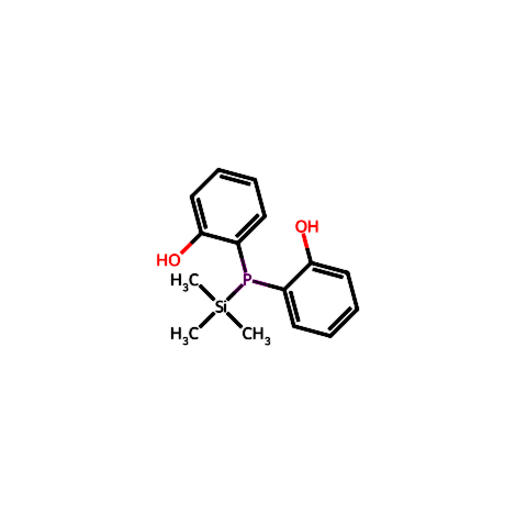 C[Si](C)(C)P(c1ccccc1O)c1ccccc1O